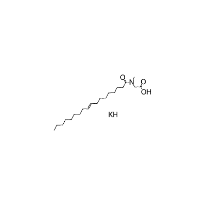 CCCCCCCCC=CCCCCCCCC(=O)N(C)CC(=O)O.[KH]